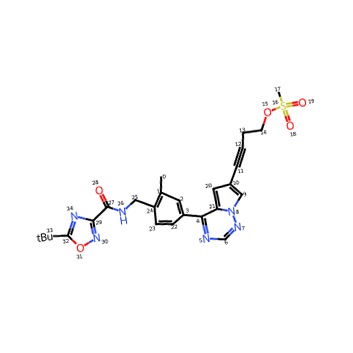 Cc1cc(-c2ncnn3cc(C#CCCOS(C)(=O)=O)cc23)ccc1CNC(=O)c1noc(C(C)(C)C)n1